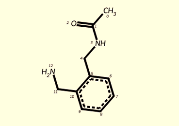 CC(=O)NCc1ccccc1CN